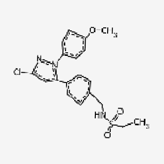 CCS(=O)(=O)NCc1ccc(-c2cc(Cl)nn2-c2ccc(OC)cc2)cc1